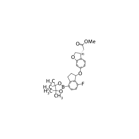 COC(=O)C[C@H]1COc2cc(OC3CCc4c(B5OC(C)(C)C(C)(C)O5)ccc(F)c43)ccc21